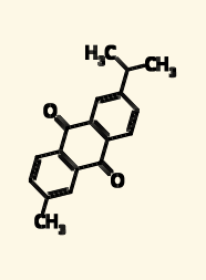 Cc1ccc2c(c1)C(=O)c1ccc(C(C)C)cc1C2=O